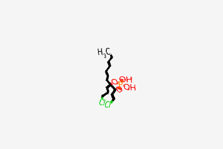 CCCCCCCC(CCCCl)(CCCCl)OP(=O)(O)O